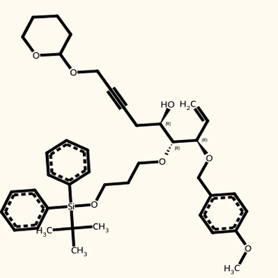 C=C[C@@H](OCc1ccc(OC)cc1)[C@H](OCCCO[Si](c1ccccc1)(c1ccccc1)C(C)(C)C)[C@H](O)CC#CCOC1CCCCO1